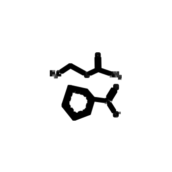 CCOC(N)=O.O=[N+]([O-])c1ccccc1